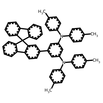 Cc1ccc(N(c2ccc(C)cc2)c2cc(-c3ccc4c(c3)C3(c5ccccc5-c5ccccc53)c3ccccc3-4)cc(N(c3ccc(C)cc3)c3ccc(C)cc3)c2)cc1